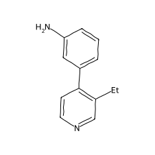 CCc1cnccc1-c1cccc(N)c1